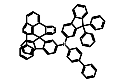 c1ccc(-c2ccc(N(c3ccc4c(c3)C(c3ccccc3)(c3ccccc3)c3ccccc3-4)c3ccc4c(c3)C3(c5ccccc5-4)c4ccccc4-c4cccc5ccc(-c6ccccc6)c3c45)cc2)cc1